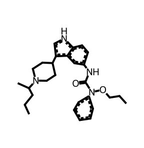 CCCON(C(=O)Nc1ccc2[nH]cc(C3CCN(C(C)CCC)CC3)c2c1)c1ccccc1